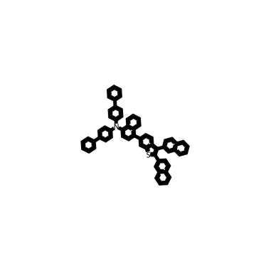 c1ccc(-c2ccc(N(c3ccc(-c4ccccc4)cc3)c3ccc(-c4ccc5c(-c6ccc7ccccc7c6)c(-c6ccc7ccccc7c6)sc5c4)c4ccccc34)cc2)cc1